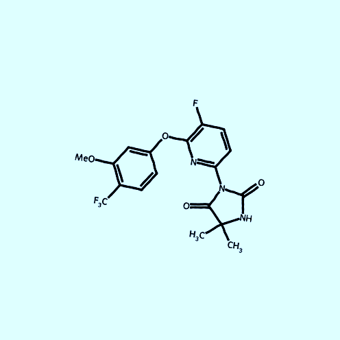 COc1cc(Oc2nc(N3C(=O)NC(C)(C)C3=O)ccc2F)ccc1C(F)(F)F